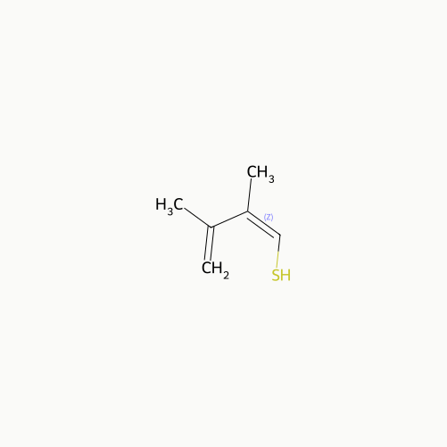 C=C(C)/C(C)=C\S